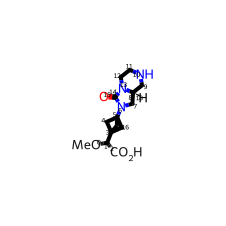 COC(C(=O)O)C12CC(N3C[C@@H]4CNCCN4C3=O)(C1)C2